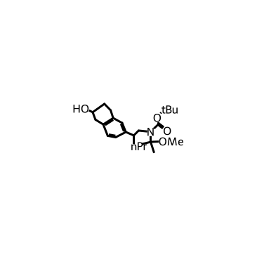 CCCC(CN(C(=O)OC(C)(C)C)C(C)(C)OC)c1ccc2c(c1)CCC(O)C2